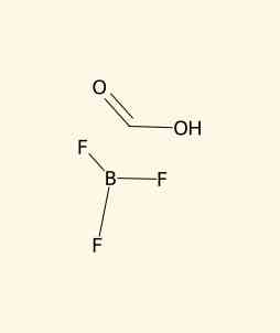 FB(F)F.O=CO